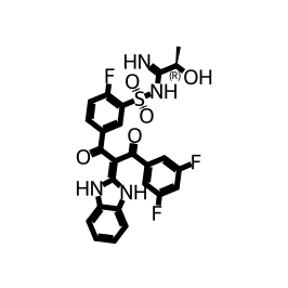 C[C@@H](O)C(=N)NS(=O)(=O)c1cc(C(=O)C(C(=O)c2cc(F)cc(F)c2)=C2Nc3ccccc3N2)ccc1F